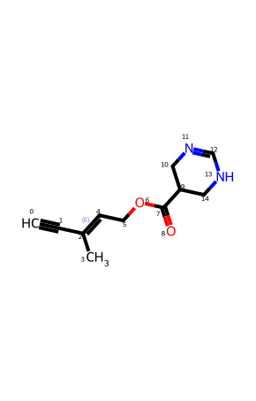 C#C/C(C)=C/COC(=O)C1CN=CNC1